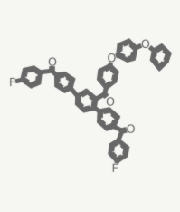 O=C(c1ccc(F)cc1)c1ccc(-c2ccc(-c3ccc(C(=O)c4ccc(F)cc4)cc3)c(C(=O)c3ccc(Oc4ccc(Oc5ccccc5)cc4)cc3)c2)cc1